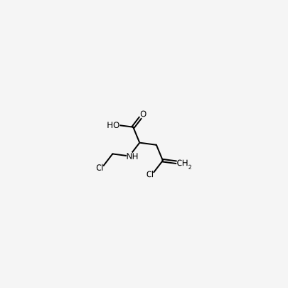 C=C(Cl)CC(NCCl)C(=O)O